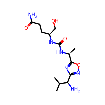 CC(C)[C@H](N)c1noc([C@H](C)NC(=O)N[C@H](CO)CCC(N)=O)n1